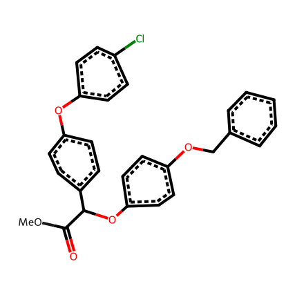 COC(=O)C(Oc1ccc(OCc2ccccc2)cc1)c1ccc(Oc2ccc(Cl)cc2)cc1